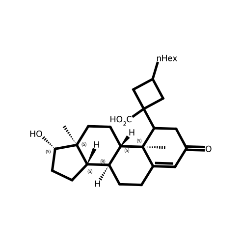 CCCCCCC1CC(C(=O)O)(C2CC(=O)C=C3CC[C@H]4[C@@H]5CC[C@H](O)[C@@]5(C)CC[C@@H]4[C@]32C)C1